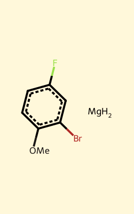 COc1ccc(F)cc1Br.[MgH2]